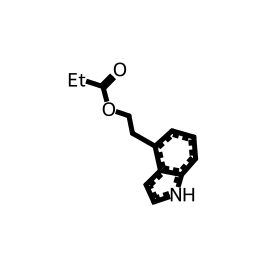 CCC(=O)OCCc1cccc2[nH]ccc12